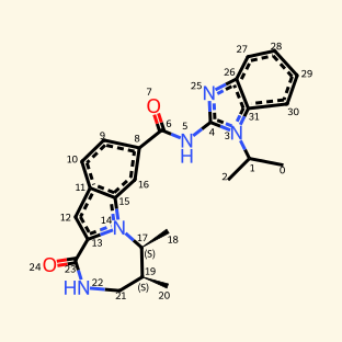 CC(C)n1c(NC(=O)c2ccc3cc4n(c3c2)[C@@H](C)[C@@H](C)CNC4=O)nc2ccccc21